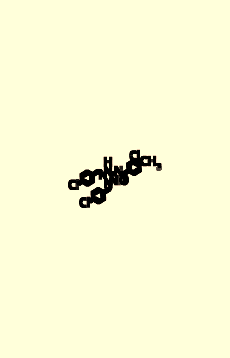 Cc1ccc(C(=O)N=C(NN=Cc2ccc(Cl)cc2)NN=Cc2ccc(Cl)cc2)cc1Cl